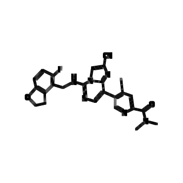 Cc1cc(C(=O)N(C)C)ncc1-c1cnc(NCc2c(F)ccc3c2CCO3)n2cc(C#N)nc12